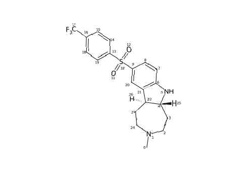 CN1CC[C@H]2Nc3ccc(S(=O)(=O)c4ccc(C(F)(F)F)cc4)cc3[C@@H]2CC1